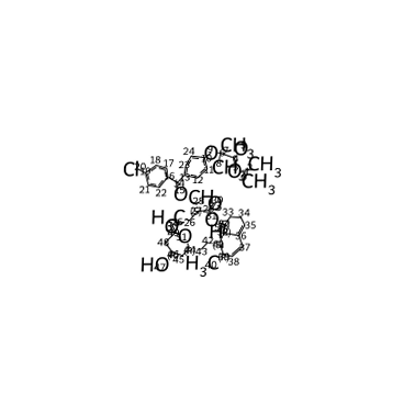 CC(C)OC(=O)C(C)(C)Oc1ccc(C(=O)c2ccc(Cl)cc2)cc1.CC[C@H](C)C(=O)O[C@H]1CCC=C2C=C[C@H](C)[C@H](CC[C@@H]3C[C@@H](O)CC(=O)O3)[C@H]21